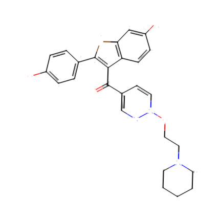 O=C(C1=CNN(OCCN2CCCCC2)C=C1)c1c(-c2ccc(O)cc2)sc2cc(O)ccc12